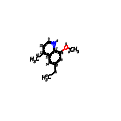 CCc1cc(OC)c2nccc(C)c2c1